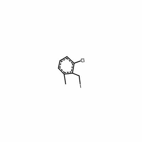 Cc1cccc(Cl)c1CI